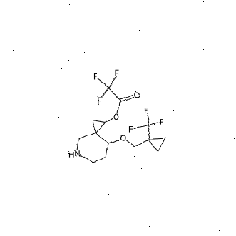 O=C(OC1CC12CNCCC2OCC1(C(F)(F)F)CC1)C(F)(F)F